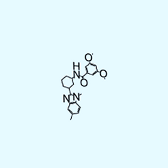 COc1cc(OC)cc(C(=O)NC2CCCC(c3nc4cc(C)ccc4n3C)C2)c1